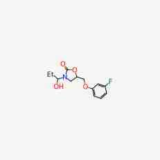 CCC(O)N1CC(COc2cccc(F)c2)OC1=O